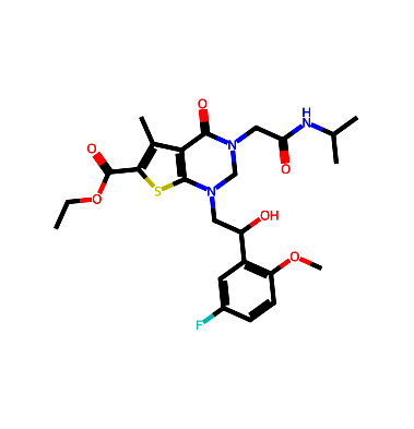 CCOC(=O)c1sc2c(c1C)C(=O)N(CC(=O)NC(C)C)CN2CC(O)c1cc(F)ccc1OC